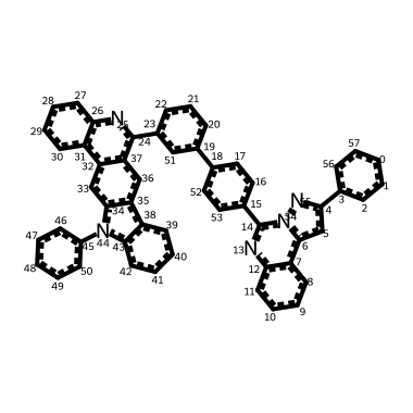 c1ccc(-c2cc3c4ccccc4nc(-c4ccc(-c5cccc(-c6nc7ccccc7c7cc8c(cc67)c6ccccc6n8-c6ccccc6)c5)cc4)n3n2)cc1